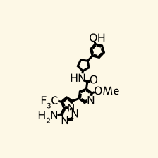 COc1ncc(-c2cc(C(F)(F)F)c3c(N)ncnn23)cc1C(=O)NC1CCC(c2cccc(O)c2)C1